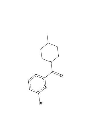 CC1CCN(C(=O)c2cccc(Br)n2)CC1